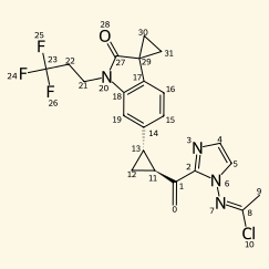 C=C(c1nccn1/N=C(\C)Cl)[C@H]1C[C@@H]1c1ccc2c(c1)N(CCC(F)(F)F)C(=O)C21CC1